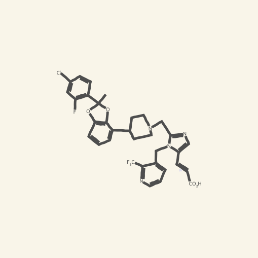 CC1(c2ccc(Cl)cc2F)Oc2cccc(C3CCN(Cc4ncc(/C=C/C(=O)O)n4Cc4cccnc4C(F)(F)F)CC3)c2O1